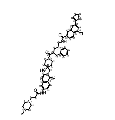 CN1CCN(CCC(=O)Nc2ccc3c(=O)n(CC4(O)CCN(C(=O)C(CCCNC(=O)c5ccc6c(Cl)cc(-c7cscn7)nc6c5)Cc5ccccc5)CC4)cnc3c2)CC1